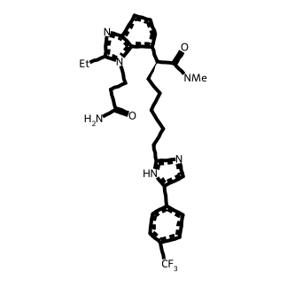 CCc1nc2cccc([C@H](CCCCCc3ncc(-c4ccc(C(F)(F)F)cc4)[nH]3)C(=O)NC)c2n1CCC(N)=O